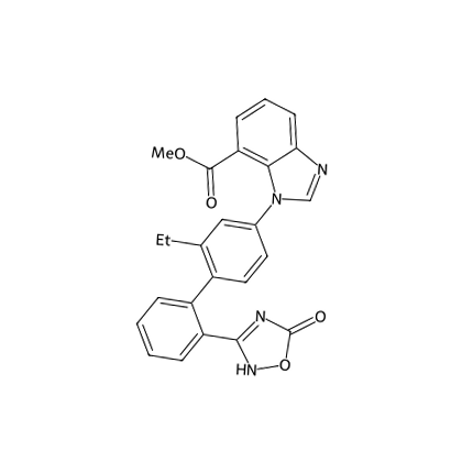 CCc1cc(-n2cnc3cccc(C(=O)OC)c32)ccc1-c1ccccc1-c1nc(=O)o[nH]1